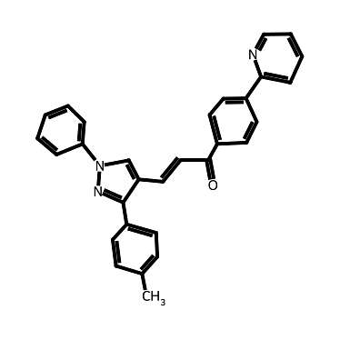 Cc1ccc(-c2nn(-c3ccccc3)cc2C=CC(=O)c2ccc(-c3ccccn3)cc2)cc1